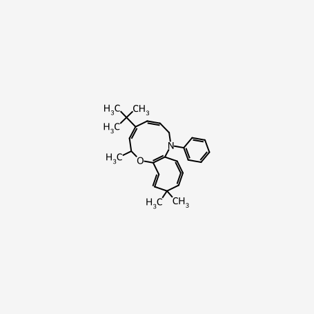 CC1/C=C(C(C)(C)C)\C=C/CN(c2ccccc2)/C2=C(/C=C/C(C)(C)C=C=C2)O1